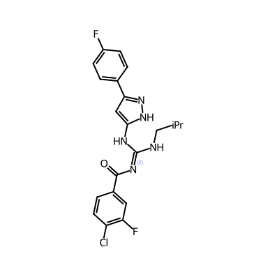 CC(C)CN/C(=N/C(=O)c1ccc(Cl)c(F)c1)Nc1cc(-c2ccc(F)cc2)n[nH]1